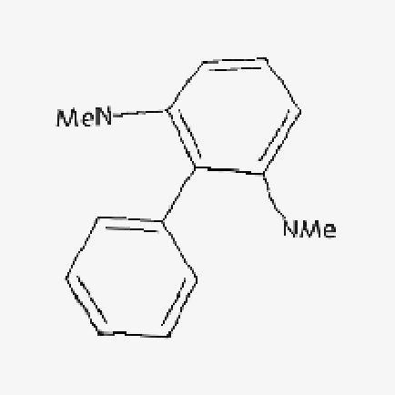 CNc1cccc(NC)c1-c1ccccc1